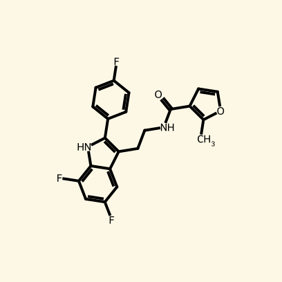 Cc1occc1C(=O)NCCc1c(-c2ccc(F)cc2)[nH]c2c(F)cc(F)cc12